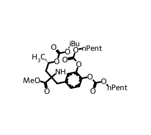 CCCCCOC(=O)Oc1ccc(CC(N)(C[C@H](C)OC(=O)O[C@@H](C)CC)C(=O)OC)cc1OC(=O)OCCCCC